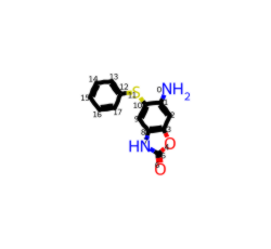 Nc1cc2oc(=O)[nH]c2cc1Sc1ccccc1